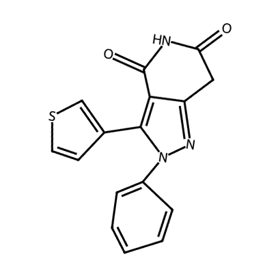 O=C1Cc2nn(-c3ccccc3)c(-c3ccsc3)c2C(=O)N1